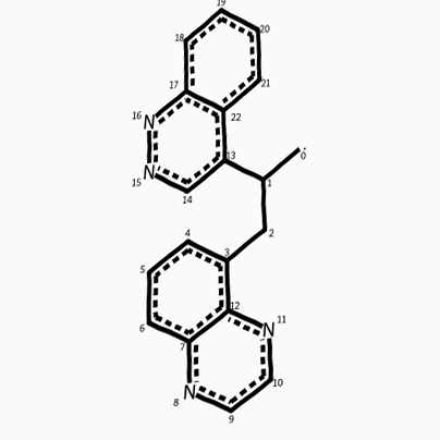 [CH2]C(Cc1cccc2nccnc12)c1cnnc2ccccc12